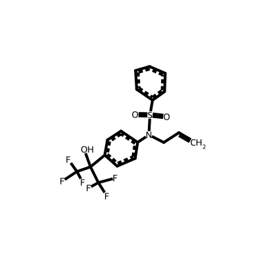 C=CCN(c1ccc(C(O)(C(F)(F)F)C(F)(F)F)cc1)S(=O)(=O)c1ccccc1